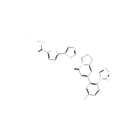 CNC(=O)c1ccc(-c2cnc([C@@H]3CCc4cc(-c5cc(Cl)ccc5-n5cnnn5)cc(=O)n43)[nH]2)o1